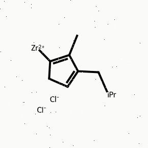 CC1=[C]([Zr+2])CC=C1CC(C)C.[Cl-].[Cl-]